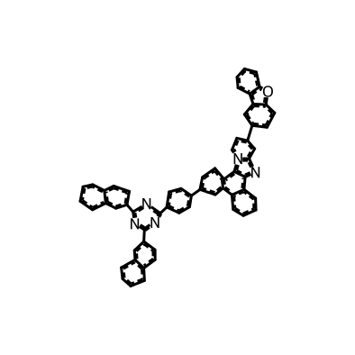 c1ccc2cc(-c3nc(-c4ccc(-c5ccc6c(c5)c5ccccc5c5nc7cc(-c8ccc9oc%10ccccc%10c9c8)ccn7c65)cc4)nc(-c4ccc5ccccc5c4)n3)ccc2c1